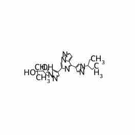 CCC(CC)n1cc(-c2nc(-c3cnn(CC(O)C(C)(C)O)c3)cn3nccc23)cn1